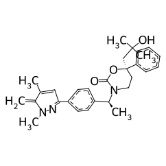 C=C1C(C)=CC(c2ccc([C@H](C)N3CC[C@](CC(C)(C)O)(c4ccccc4)OC3=O)cc2)=NN1C